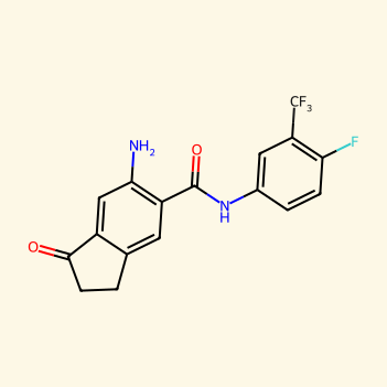 Nc1cc2c(cc1C(=O)Nc1ccc(F)c(C(F)(F)F)c1)CCC2=O